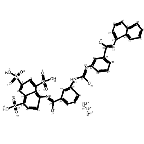 O=S(=O)(O)c1cc(S(=O)(=O)O)c2c(N=C([O-])c3cccc(NC([O-])=Nc4cccc(C([O-])=Nc5cccc6ccccc56)c4)c3)ccc(S(=O)(=O)O)c2c1.[Na+].[Na+].[Na+]